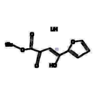 CC(C)(C)OC(=O)C(=O)/C=C(\O)c1ccco1.[LiH]